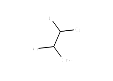 CC(Cl)C(F)Cl